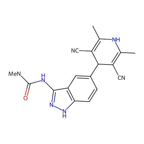 CNC(=O)Nc1n[nH]c2ccc(C3C(C#N)=C(C)NC(C)=C3C#N)cc12